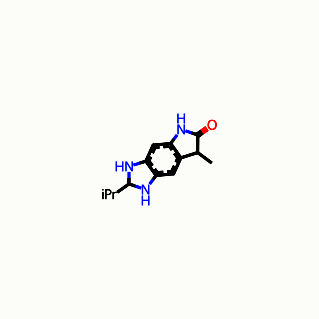 CC1C(=O)Nc2cc3c(cc21)NC(C(C)C)N3